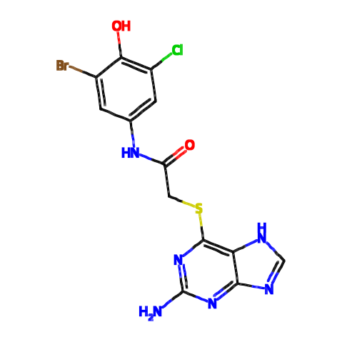 Nc1nc(SCC(=O)Nc2cc(Cl)c(O)c(Br)c2)c2[nH]cnc2n1